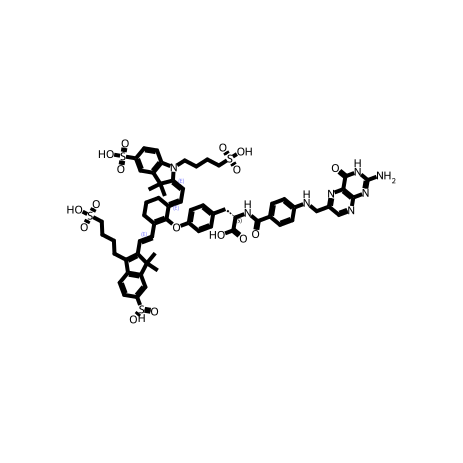 CC1(C)C(/C=C/C2=C(Oc3ccc(C[C@H](NC(=O)c4ccc(NCc5cnc6nc(N)[nH]c(=O)c6n5)cc4)C(=O)O)cc3)C(=C/C=C3/N(CCCCS(=O)(=O)O)c4ccc(S(=O)(=O)O)cc4C3(C)C)/CCC2)=C(CCCCS(=O)(=O)O)c2ccc([SH](=O)=O)cc21